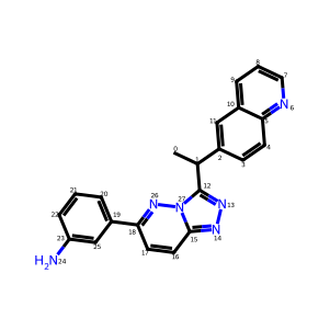 CC(c1ccc2ncccc2c1)c1nnc2ccc(-c3cccc(N)c3)nn12